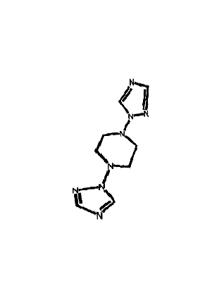 c1ncn(N2CCN(n3cncn3)CC2)n1